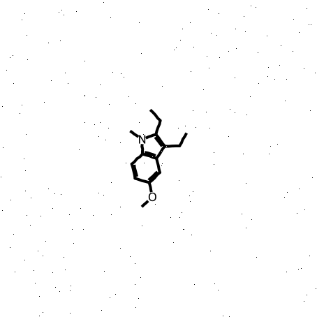 CCc1c(CC)n(C)c2ccc(OC)cc12